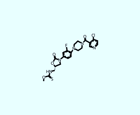 COC(=S)NC[C@H]1CN(c2ccc(N3CCN(C(=O)c4cnccc4Cl)CC3)c(F)c2)C(=O)O1